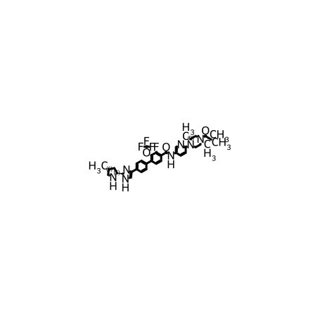 C[C@@H]1CN[C@H](c2nc(-c3ccc(-c4ccc(C(=O)Nc5ccc(N6CCN(C(=O)C(C)(C)C)C[C@H]6C)nc5)c(F)c4OC(F)(F)F)cc3)c[nH]2)C1